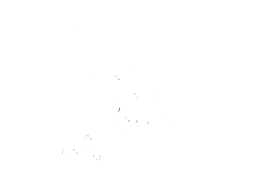 CC(=O)N[C@H](Cc1ccc(C)cc1C)C(=O)N1C[C@@H](C)N(C(=O)Cc2ccc3ccccc3c2)C[C@@H]1CCCNC(=N)N